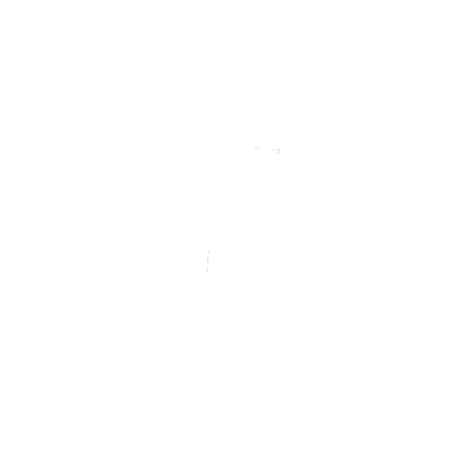 COC(=O)CCC(=O)c1cc(-c2cccc3[nH]ccc23)co1